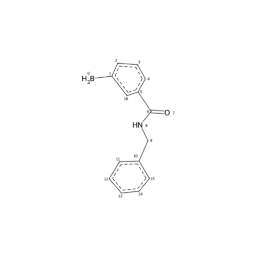 Bc1cccc(C(=O)NCc2ccccc2)c1